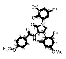 CCn1cc(F)cc(N2C[C@@H](c3c(F)cc(OC)cc3F)[C@H](NC(=O)c3ccc(OC(F)(F)F)cc3)C2=O)c1=O